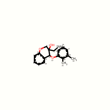 CNCC1(O)COc2ccccc2C1Oc1cccc(C)c1C